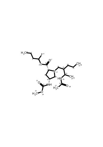 CCCC(F)OC(=O)[C@H]1C[C@@H](NC(=O)OC)CN1CC(CCC)C(C)NC(C)=O